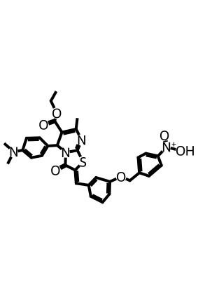 CCOC(=O)C1=C(C)N=c2s/c(=C\c3cccc(OCc4ccc([N+](=O)O)cc4)c3)c(=O)n2C1c1ccc(N(C)C)cc1